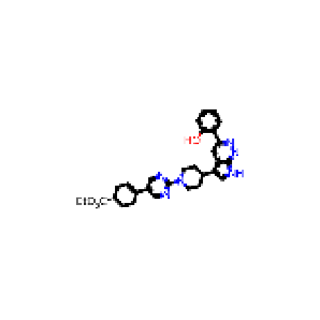 CCOC(=O)[C@H]1CC=C(c2cnc(N3CCC(c4c[nH]c5nnc(-c6ccccc6O)cc45)CC3)nc2)CC1